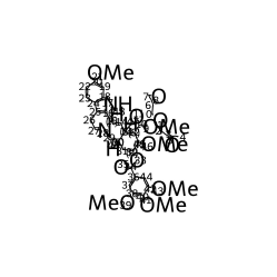 C(OCC1CO1)C1CO1.COC(=O)[C@H]1[C@H]2C[C@@H]3c4[nH]c5cc(OC)ccc5c4CCN3C[C@H]2C[C@@H](OC(=O)c2cc(OC)c(OC)c(OC)c2)[C@@H]1OC